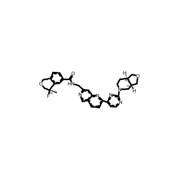 C[C@@]1(F)COCc2ccc(C(=O)NCc3cc4nc(-c5ccnc(N6CC[C@H]7COC[C@@H]7C6)n5)ccc4cn3)cc21